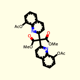 COC(=O)C(C(=O)OC)(c1ccc2cccc(OC(C)=O)c2n1)c1ccc2cccc(OC(C)=O)c2n1